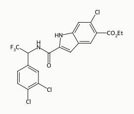 CCOC(=O)c1cc2cc(C(=O)NC(c3ccc(Cl)c(Cl)c3)C(F)(F)F)[nH]c2cc1Cl